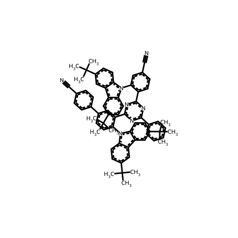 CC(C)(C)c1ccc2c(c1)c1cc(C(C)(C)C)ccc1n2-c1ccc(-c2ccc(C#N)cc2)cc1-c1nc(-c2ccccc2)nc(-c2ccc(C#N)cc2-n2c3ccc(C(C)(C)C)cc3c3cc(C(C)(C)C)ccc32)n1